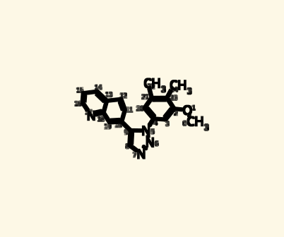 COc1cc(-n2nncc2-c2ccc3cccnc3c2)cc(C)c1C